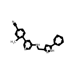 Cc1cc(C#N)ccc1-c1cncc(NCc2cc(-c3ccccc3)[nH]n2)c1